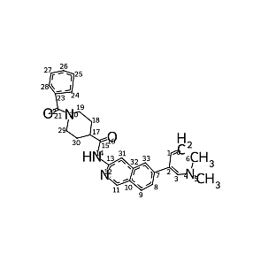 C=C/C(=C\N(C)C)c1ccc2cnc(NC(=O)C3CCN(C(=O)c4ccccc4)CC3)cc2c1